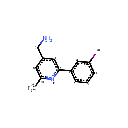 NCc1cc(-c2cccc(I)c2)nc(C(F)(F)F)c1